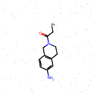 CC(C)CC(=O)N1CCc2cc(N)ccc2C1